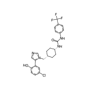 O=C(Nc1ccc(C(F)(F)F)cc1)N[C@H]1CC[C@@H](Cn2cncc2-c2cc(Cl)ccc2O)CC1